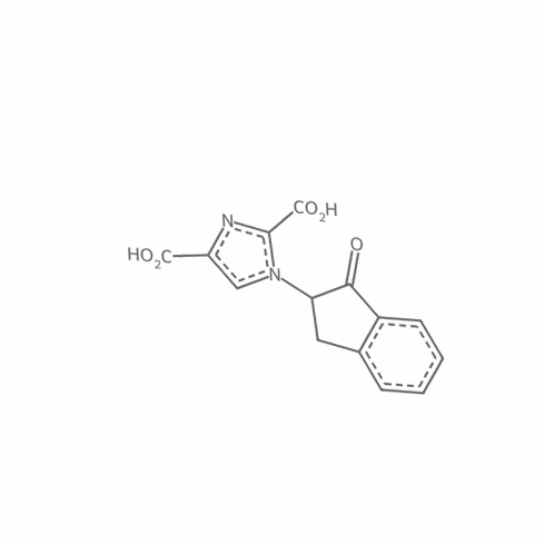 O=C(O)c1cn(C2Cc3ccccc3C2=O)c(C(=O)O)n1